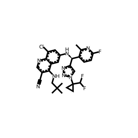 Cc1nc(F)ccc1[C@H](Nc1cc(Cl)c2ncc(C#N)c(NCC(C)(C)C)c2c1)c1cn(C2(C(F)F)CC2)nn1